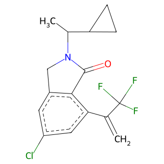 C=C(c1cc(Cl)cc2c1C(=O)N(C(C)C1CC1)C2)C(F)(F)F